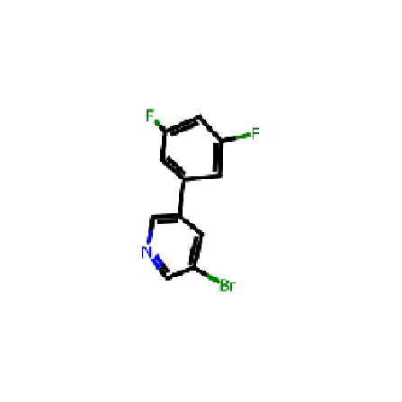 Fc1cc(F)cc(-c2cncc(Br)c2)c1